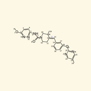 COc1ccc(NC(=O)N2CC/C(=C\c3cccc(Oc4ncc(C)cn4)c3)C(C)C2)nn1